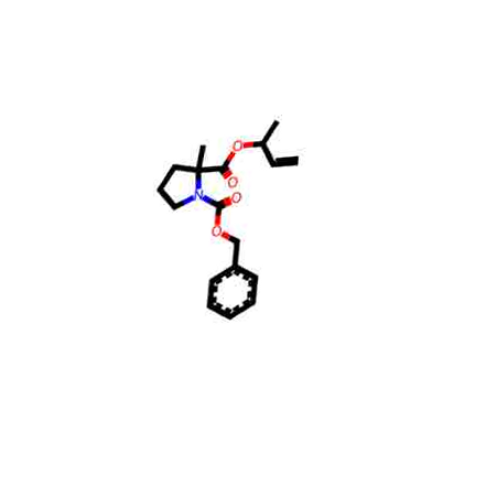 C=CC(C)OC(=O)C1(C)CCCN1C(=O)OCc1ccccc1